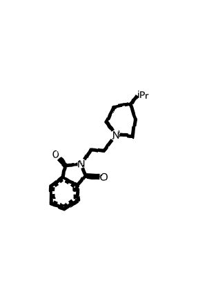 CC(C)C1CCN(CCN2C(=O)c3ccccc3C2=O)CC1